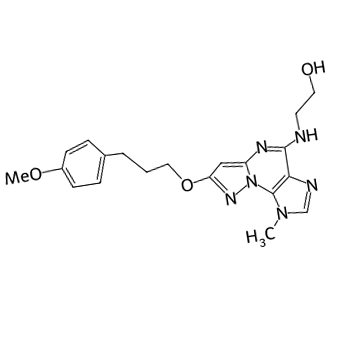 COc1ccc(CCCOc2cc3nc(NCCO)c4ncn(C)c4n3n2)cc1